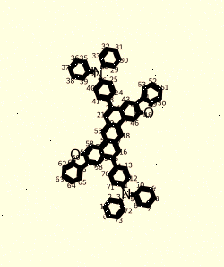 c1ccc(N(c2ccccc2)c2ccc(-c3cc4cc5c(cc(-c6ccc(N(c7ccccc7)c7ccccc7)cc6)c6cc7c(cc65)oc5ccccc57)cc4c4cc5oc6ccccc6c5cc34)cc2)cc1